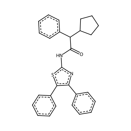 O=C(Nc1nc(-c2ccccc2)c(-c2ccccc2)s1)C(c1ccccc1)C1CCCC1